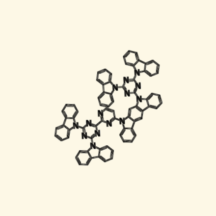 c1ccc2c(c1)c1cc3c4ccccc4n(-c4nc(-n5c6ccccc6c6ccccc65)nc(-n5c6ccccc6c6ccccc65)n4)c3cc1n2-c1ccnc(-c2nc(-n3c4ccccc4c4ccccc43)nc(-n3c4ccccc4c4ccccc43)n2)n1